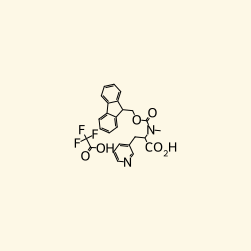 CN(C(=O)OCC1c2ccccc2-c2ccccc21)C(Cc1cccnc1)C(=O)O.O=C(O)C(F)(F)F